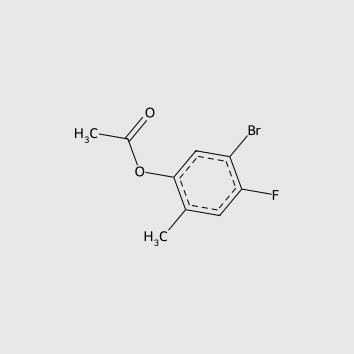 CC(=O)Oc1cc(Br)c(F)cc1C